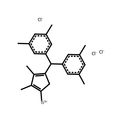 CC1=[C]([Ti+3])CC(C(c2cc(C)cc(C)c2)c2cc(C)cc(C)c2)=C1C.[Cl-].[Cl-].[Cl-]